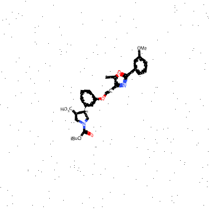 COc1cccc(-c2nc(CCOc3cccc([C@@H]4CN(C(=O)OCC(C)C)CC4C(=O)O)c3)c(C)o2)c1